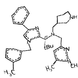 Cc1cccc(Cn2cc(-c3ccccc3)nc2[C@H](N(Cc2cc(C)n(C)n2)CC2CCNC2)C(C)(C)C)c1